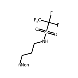 CCCCCCCCCCCCNS(=O)(=O)C(F)(F)C(F)(F)F